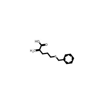 C=C(CCCSCc1ccccc1)C(=O)O